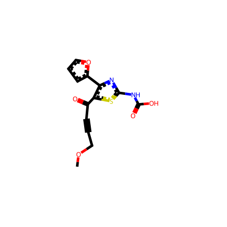 COCC#CC(=O)c1sc(NC(=O)O)nc1-c1ccco1